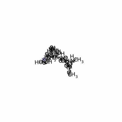 CCN[C@H]1CN(CCCOC)S(=O)(=O)c2sc(S(=O)(=O)NC(=O)CCC(=O)O[C@@H](CNC(C)(C)C/C(=C/C(=O)O)C(=O)O)COc3nsnc3N3CCOCC3)cc21